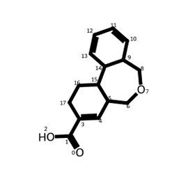 O=C(O)C1=CC2COCC3C=CC=CC3C2CC1